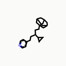 [CH](CC(CCC12CC3CC(CC(C3)C1)C2)C1CC1)c1ccncc1